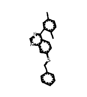 Cc1ccc(C)c(-c2ncnc3cc(SCc4ccccc4)ccc23)c1